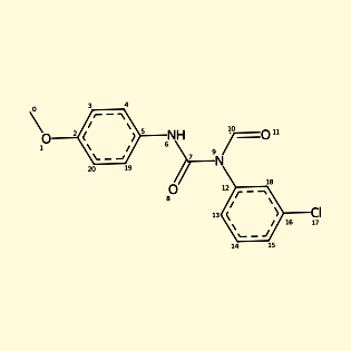 COc1ccc(NC(=O)N([C]=O)c2cccc(Cl)c2)cc1